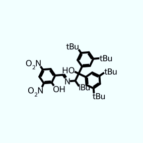 CCC(C)C(N=Cc1cc([N+](=O)[O-])cc([N+](=O)[O-])c1O)C(O)(c1cc(C(C)(C)C)cc(C(C)(C)C)c1)c1cc(C(C)(C)C)cc(C(C)(C)C)c1